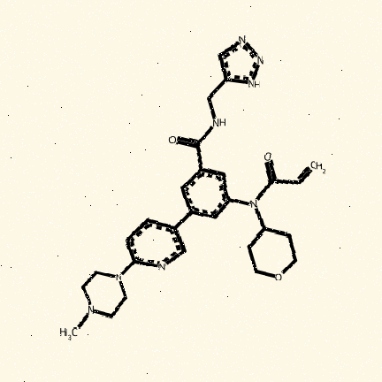 C=CC(=O)N(c1cc(C(=O)NCc2cnn[nH]2)cc(-c2ccc(N3CCN(C)CC3)nc2)c1)C1CCOCC1